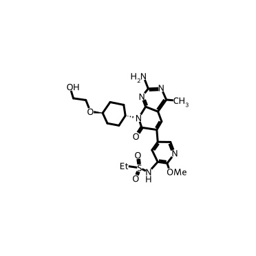 CCS(=O)(=O)Nc1cc(-c2cc3c(C)nc(N)nc3n([C@H]3CC[C@H](OCCO)CC3)c2=O)cnc1OC